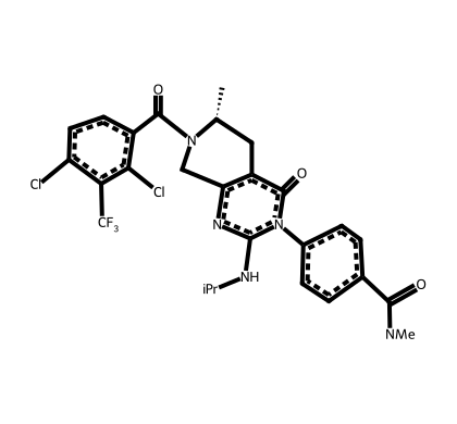 CNC(=O)c1ccc(-n2c(NC(C)C)nc3c(c2=O)C[C@@H](C)N(C(=O)c2ccc(Cl)c(C(F)(F)F)c2Cl)C3)cc1